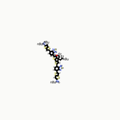 CCCCC(CC)CC1(CC(CC)CCCC)c2cc(-c3ccc(-c4cc5sc(N(C)CCCC)cc5s4)c4nsnc34)sc2-c2sc(-c3ccc(-c4cc5sc(N(CCCC)CCCC)cc5s4)c4nsnc34)cc21